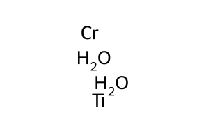 O.O.[Cr].[Ti]